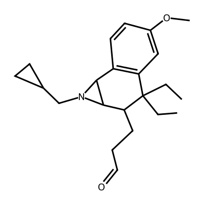 CCC1(CC)c2cc(OC)ccc2C2C(C1CCC=O)N2CC1CC1